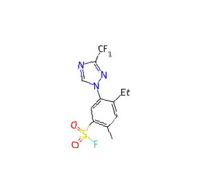 CCc1cc(C)c(S(=O)(=O)F)cc1-n1cnc(C(F)(F)F)n1